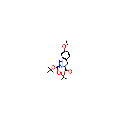 CCOc1ccc(CC(NC(=O)OC(C)(C)C)C(=O)OC(C)C)cc1